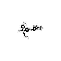 CC1CCN(C(=N)N(CCCN)c2ccc(OCc3ccc(C(C)(C)C)cc3)cc2)CC1